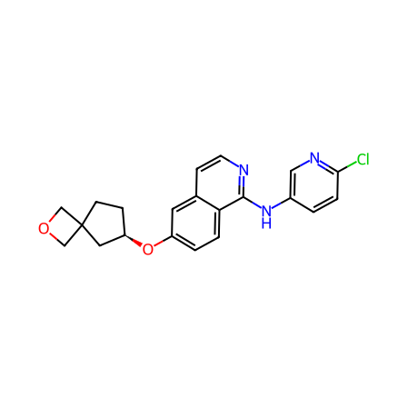 Clc1ccc(Nc2nccc3cc(O[C@@H]4CCC5(COC5)C4)ccc23)cn1